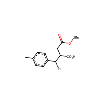 CCC(c1ccc(C)cc1)C(CC(=O)OC(C)(C)C)C(=O)O